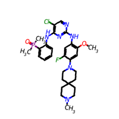 COc1cc(N2CCC3(CCN(C)CC3)CC2)c(F)cc1Nc1ncc(Cl)c(Nc2ccccc2P(C)(C)=O)n1